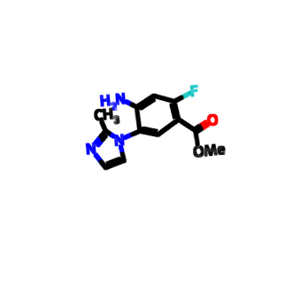 COC(=O)c1cc(-n2ccnc2C)c(N)cc1F